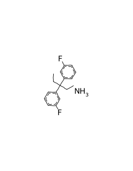 CCC(CC)(c1cccc(F)c1)c1cccc(F)c1.N